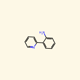 Nc1ccccc1-c1ccccn1